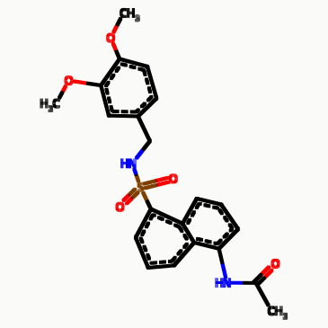 COc1ccc(CNS(=O)(=O)c2cccc3c(NC(C)=O)cccc23)cc1OC